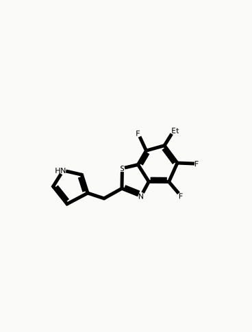 CCc1c(F)c(F)c2nc(Cc3cc[nH]c3)sc2c1F